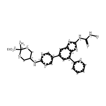 CCNC(=O)Nc1nc2cc(-c3cnc(NC4COC(C)(C(=O)OCC)OC4)nc3)cc(-c3ccccn3)c2s1